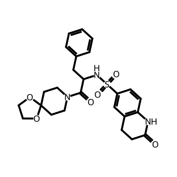 O=C1CCc2cc(S(=O)(=O)NC(Cc3ccccc3)C(=O)N3CCC4(CC3)OCCO4)ccc2N1